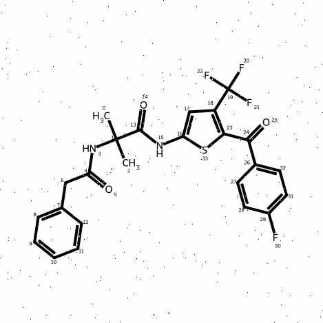 CC(C)(NC(=O)Cc1ccccc1)C(=O)Nc1cc(C(F)(F)F)c(C(=O)c2ccc(F)cc2)s1